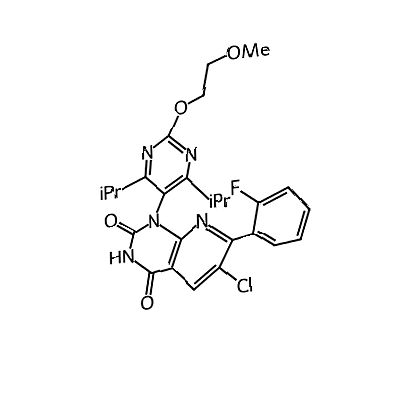 COCCOc1nc(C(C)C)c(-n2c(=O)[nH]c(=O)c3cc(Cl)c(-c4ccccc4F)nc32)c(C(C)C)n1